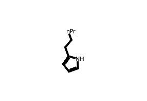 CCCCCc1ccc[nH]1